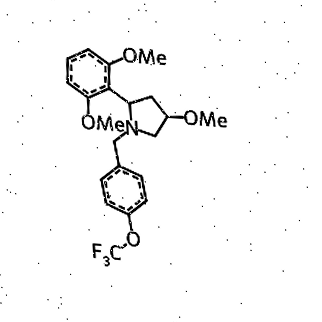 COc1cccc(OC)c1C1CC(OC)CN1Cc1ccc(OC(F)(F)F)cc1